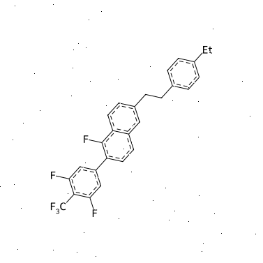 CCc1ccc(CCc2ccc3c(F)c(-c4cc(F)c(C(F)(F)F)c(F)c4)ccc3c2)cc1